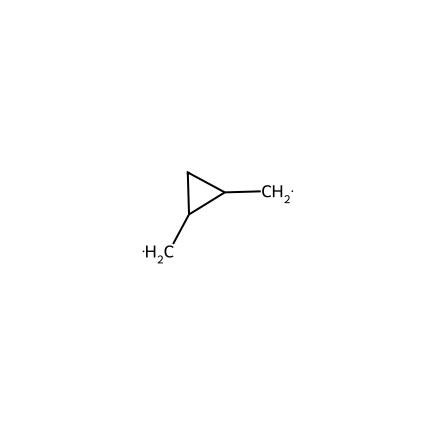 [CH2]C1CC1[CH2]